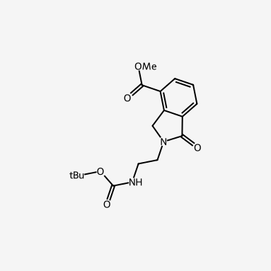 COC(=O)c1cccc2c1CN(CCNC(=O)OC(C)(C)C)C2=O